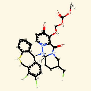 COC(=O)OCOc1c2n(ccc1=O)N([C@@H]1c3ccccc3SCc3c1ccc(F)c3F)[C@@H]1CCC(CF)CN1C2=O